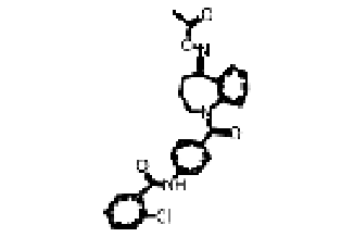 CC(=O)ON=C1CCCN(C(=O)c2ccc(NC(=O)c3ccccc3Cl)cc2)c2ccccc21